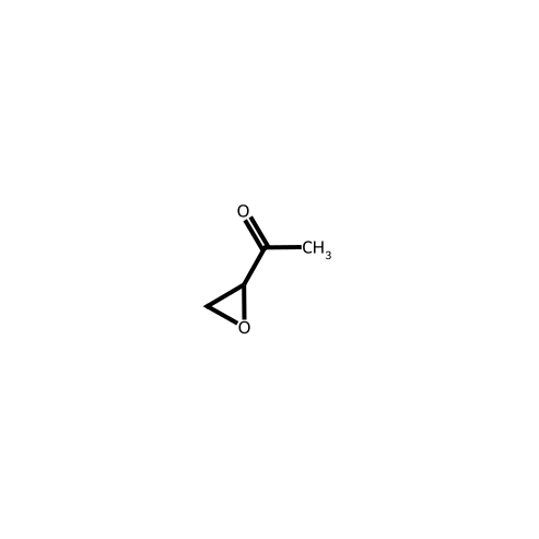 CC(=O)C1CO1